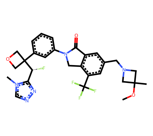 COC1(C)CN(Cc2cc3c(c(C(F)(F)F)c2)CN(c2cccc(C4([C@H](F)c5nncn5C)COC4)c2)C3=O)C1